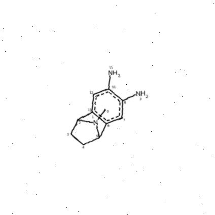 CN1C2CCC1c1cc(N)c(N)cc12